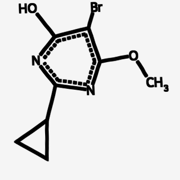 COc1nc(C2CC2)nc(O)c1Br